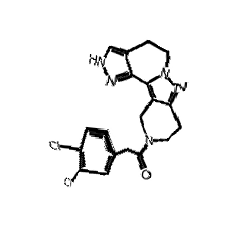 O=C(c1ccc(Cl)c(Cl)c1)N1CCc2nn3c(c2C1)-c1n[nH]cc1CC3